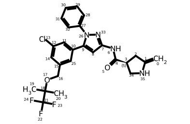 C=C1C[C@H](C(=O)Nc2cc(-c3cc(Cl)cc(COC(C)(C)C(F)(F)F)c3)n(-c3ccccc3)n2)CN1